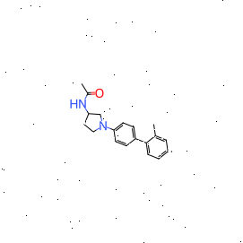 CC(=O)NC1CCN(c2ccc(-c3cc[c]cc3C)cc2)C1